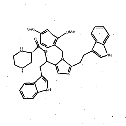 COc1ccc(Cn2c(CCc3c[nH]c4ccccc34)nnc2C(Cc2c[nH]c3ccccc23)NC(=O)[C@H]2CNCCN2)c(OC)c1